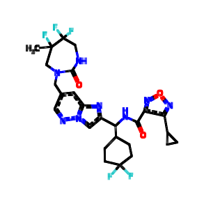 CC1(F)CN(Cc2cnn3cc(C(NC(=O)c4nonc4C4CC4)C4CCC(F)(F)CC4)nc3c2)C(=O)NCC1(F)F